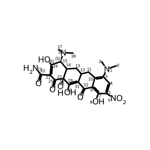 CN(C)c1cc([N+](=O)[O-])c(O)c2c1CC1CC3[C@H](N(C)C)C(O)=C(C(N)=O)C(=O)[C@@]3(O)C(O)=C1C2=O